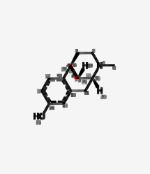 CN1CC[C@]23CCCC[C@H]2[C@H]1Cc1cc(O)ccc13